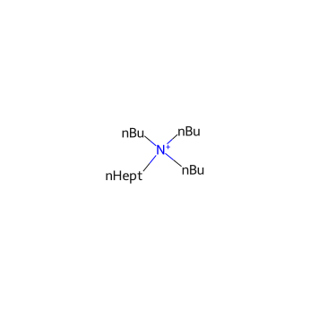 CCCCCCC[N+](CCCC)(CCCC)CCCC